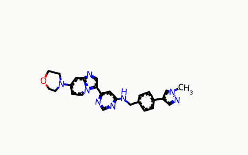 Cn1cc(-c2ccc(CNc3cc(-c4cnc5cc(N6CCOCC6)ccn45)ncn3)cc2)cn1